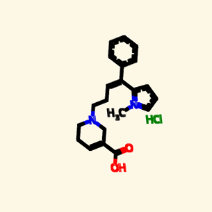 Cl.Cn1cccc1C(=CCCN1CCC=C(C(=O)O)C1)c1ccccc1